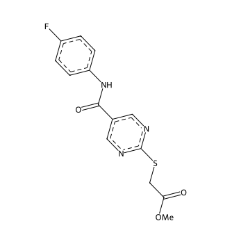 COC(=O)CSc1ncc(C(=O)Nc2ccc(F)cc2)cn1